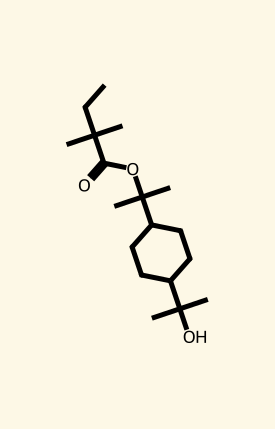 CCC(C)(C)C(=O)OC(C)(C)C1CCC(C(C)(C)O)CC1